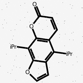 CC(C)c1c2ccoc2c(C(C)C)c2oc(=O)ccc12